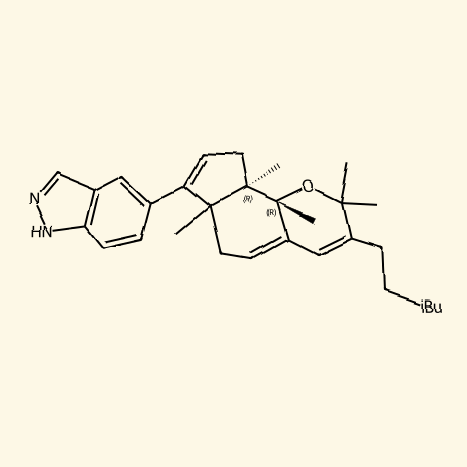 CCC(C)CCC1=CC2=CCC3(C)C(c4ccc5[nH]ncc5c4)=CC[C@@]3(C)[C@]2(C)OC1(C)C